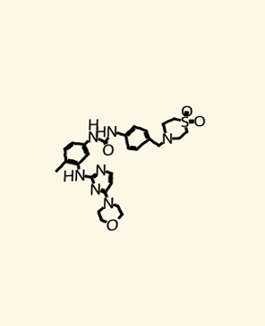 Cc1ccc(NC(=O)Nc2ccc(CN3CCS(=O)(=O)CC3)cc2)cc1Nc1nccc(N2CCOCC2)n1